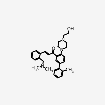 Cc1ccccc1-c1ccc(N2CCN(CCO)CC2)c(C(=O)/C=C/c2ccccc2CN(C)C)c1